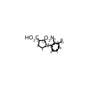 O=C(O)C1CCN(c2cccc(F)c2[N+](=O)[O-])C1